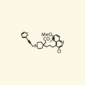 COc1ccc2ncc(Cl)c(CCCC3(CC(=O)O)CCN(CC#Cc4cccs4)CC3)c2c1